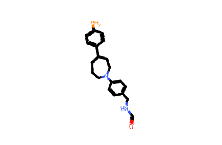 O=CNCc1ccc(N2CCCC(c3ccc(P)cc3)CC2)cc1